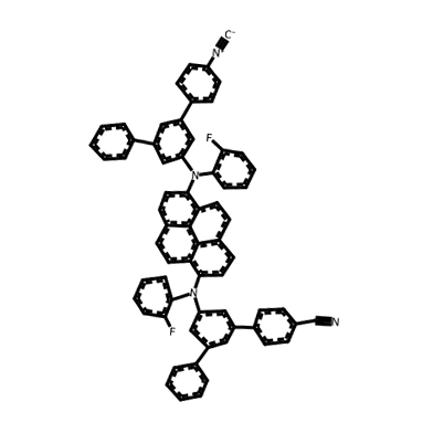 [C-]#[N+]c1ccc(-c2cc(-c3ccccc3)cc(N(c3ccccc3F)c3ccc4ccc5c(N(c6cc(-c7ccccc7)cc(-c7ccc(C#N)cc7)c6)c6ccccc6F)ccc6ccc3c4c65)c2)cc1